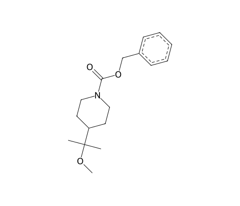 COC(C)(C)C1CCN(C(=O)OCc2ccccc2)CC1